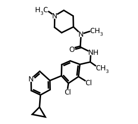 CC(NC(=O)N(C)C1CCN(C)CC1)c1ccc(-c2cncc(C3CC3)c2)c(Cl)c1Cl